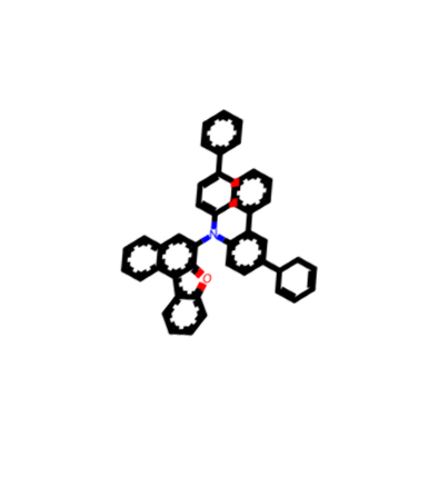 C1=CCC(c2ccc(N(C3=CC=C(c4ccccc4)CC3)c3cc4ccccc4c4c3oc3ccccc34)c(-c3ccccc3)c2)C=C1